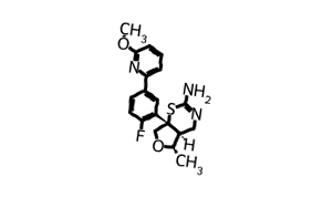 COc1cccc(-c2ccc(F)c([C@]34CO[C@H](C)[C@@H]3CN=C(N)S4)c2)n1